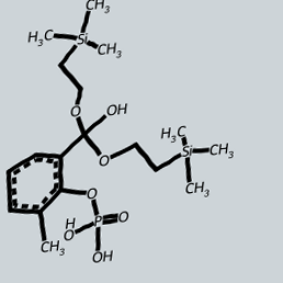 Cc1cccc(C(O)(OCC[Si](C)(C)C)OCC[Si](C)(C)C)c1OP(=O)(O)O